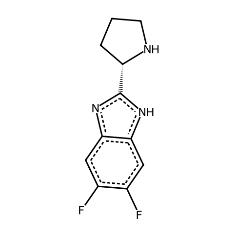 Fc1cc2nc([C@@H]3CCCN3)[nH]c2cc1F